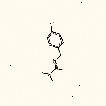 C/C(=N\Cc1ccc(Cl)cc1)N(C)C